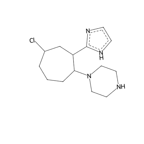 ClC1CCCC(N2CCNCC2)C(c2ncc[nH]2)C1